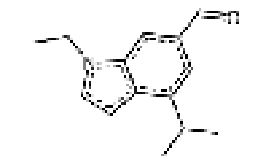 CCn1ccc2c(C(C)C)cc(C=O)cc21